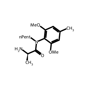 CCCCCN(C(=O)[C@@H](C)N)c1c(OC)cc(C)cc1OC